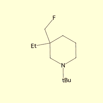 CCC1(CF)CCCN(C(C)(C)C)C1